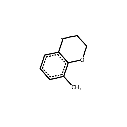 Cc1cccc2c1OCC[CH]2